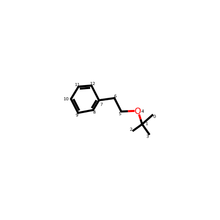 CC(C)(C)OCCc1ccccc1